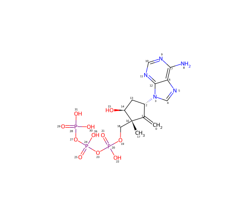 C=C1[C@@H](n2cnc3c(N)ncnc32)C[C@H](O)[C@@]1(C)COP(=O)(O)OP(=O)(O)OP(=O)(O)O